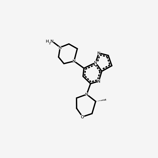 C[C@@H]1COCCN1c1cc(N2CCN(N)CC2)n2nccc2n1